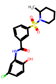 CC1CCCCN1S(=O)(=O)c1cccc(C(=O)Nc2cc(Cl)ccc2O)c1